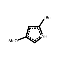 COc1c[nH]c(C(C)(C)C)c1